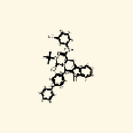 CC(C)(C)OC(=O)N1C(C(=O)Nc2cccc(F)c2)Cc2c([nH]c3ccccc23)C1c1ccc(-c2ccccc2)cc1